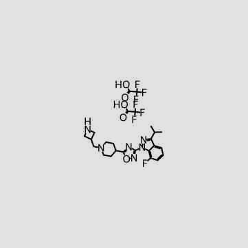 CC(C)c1nn(-c2noc(C3CCN(CC4CNC4)CC3)n2)c2c(F)cccc12.O=C(O)C(F)(F)F.O=C(O)C(F)(F)F